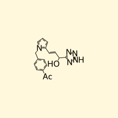 CC(=O)c1ccc(Cn2cccc2C=CC(O)c2nn[nH]n2)cc1